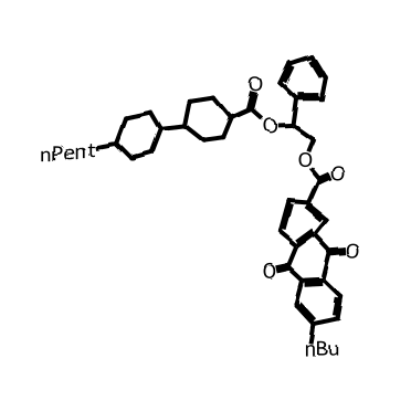 CCCCCC1CCC(C2CCC(C(=O)OC(COC(=O)c3ccc4c(c3)C(=O)c3ccc(CCCC)cc3C4=O)c3ccccc3)CC2)CC1